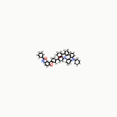 C1=CCCC(n2c3ccccc3c3c(N(c4ccc(-c5ccc6c(c5)oc5ccc7nc(-c8ccccc8)oc7c56)cc4)c4ccccc4-c4ccccc4)cccc32)=C1